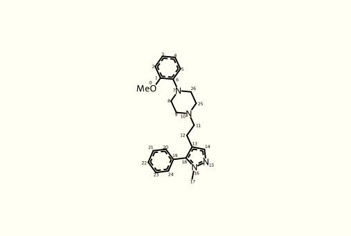 COc1ccccc1N1CCN(CCc2cnn(C)c2-c2ccccc2)CC1